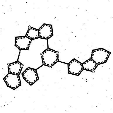 c1ccc(-c2nc(-c3ccc4oc5ccccc5c4c3)nc(-c3cccc4oc5ccc(-c6nc7ccccc7s6)cc5c34)n2)cc1